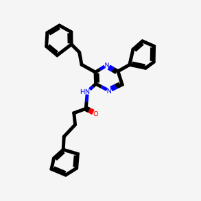 O=C(CCCc1ccccc1)Nc1ncc(-c2ccccc2)nc1CCc1ccccc1